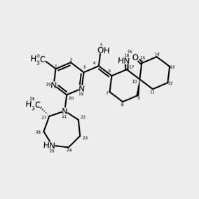 Cc1cc(/C(O)=C2\CCC[C@@]3(CCCCC3=O)C2=N)nc(N2CCCNC[C@@H]2C)n1